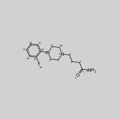 NC(=O)CCCN1CCN(c2ccccc2F)CC1